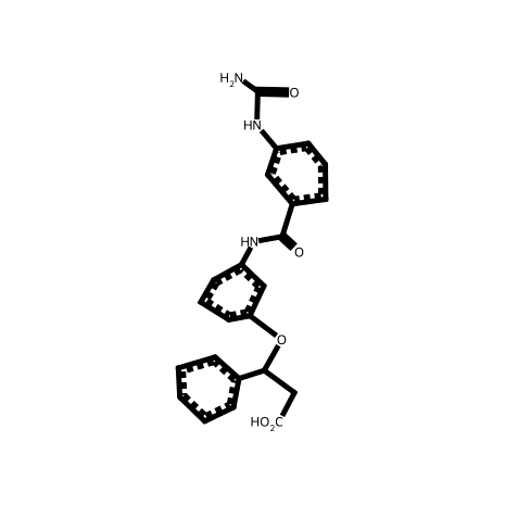 NC(=O)Nc1cccc(C(=O)Nc2cccc(OC(CC(=O)O)c3ccccc3)c2)c1